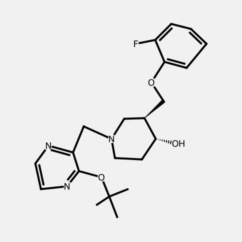 CC(C)(C)Oc1nccnc1CN1CC[C@@H](O)[C@H](COc2ccccc2F)C1